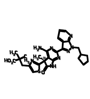 CC(C)(Cc1csc([C@]2(C)C(=O)Nc3nc(-c4nn(CC5CCCC5)c5ncccc45)nc(N)c32)n1)C(=O)O